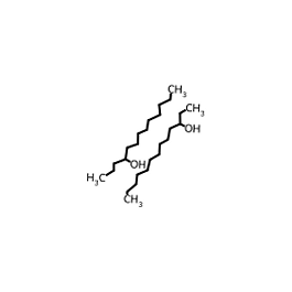 CCCCCCCCCC(O)CCC.CCCCCCCCCCC(O)CC